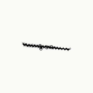 CCCCCCCCCCCCOCCOCCCC(=O)OCCCCCCCCCCCC